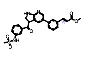 COC(=O)/C=C/c1cccc(-c2cnc3c(c2)C(C(=O)c2cccc(NS(C)(=O)=O)c2)CN3)c1